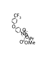 COC(=O)[C@H](CN(c1ccc(Oc2ccc(C(F)(F)F)cc2)cc1)S(C)(=O)=O)OC(C)C